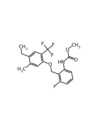 CCc1cc(C(F)(F)F)c(OCc2c(I)cccc2NC(=O)OC)cc1C